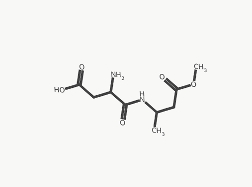 COC(=O)CC(C)NC(=O)C(N)CC(=O)O